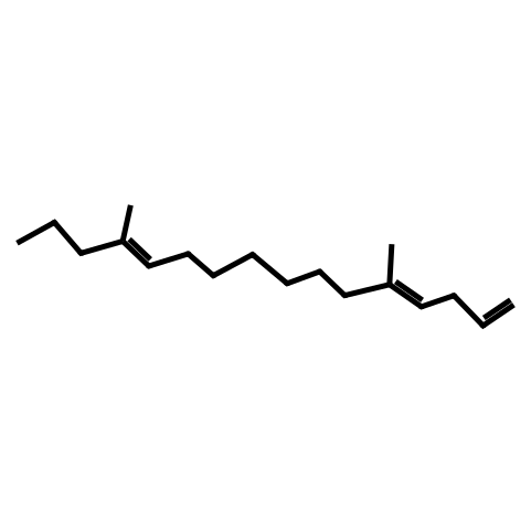 C=CC/C=C(\C)CCCCCC/C=C(\C)CCC